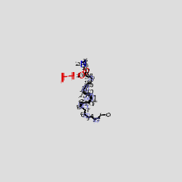 CC/C=C\C/C=C\C/C=C\C/C=C\C/C=C\C/C=C\CC(O)OCCN(C)C